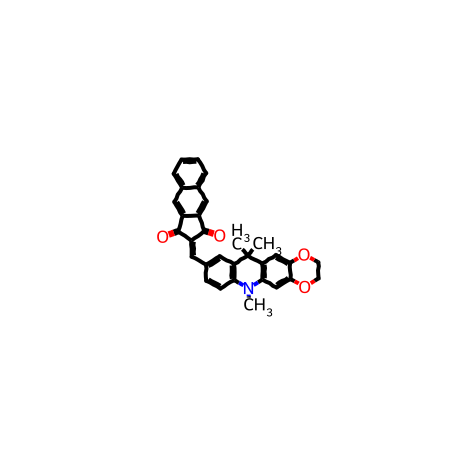 CN1c2ccc(C=C3C(=O)c4cc5ccccc5cc4C3=O)cc2C(C)(C)c2cc3c(cc21)OCCO3